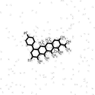 CCC1CC(C2CCC(C(C)C)CC2)C2C[C@@]3(C)C[C@@]4(C)CC(C)C(C(C)O)C(O)[C@@]4(C)C(C)C3C(O)C2C1O